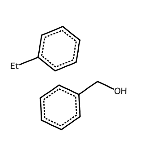 CCc1ccccc1.OCc1ccccc1